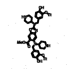 CCOc1cc(CN(c2nc3cc(N(Cc4ccc(O)c(OCC)c4)C4CCNCC4)c(C(=O)OC)cc3o2)C2CCNCC2)ccc1O